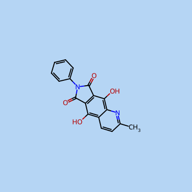 Cc1ccc2c(O)c3c(c(O)c2n1)C(=O)N(c1ccccc1)C3=O